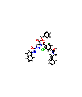 O=C(NC[C@H](NC(=O)c1c(Cl)cc(C(=O)N2CC(c3ccccc3)C2)cc1Cl)C(=O)OCc1ccccc1)NC1CCc2ccccc21